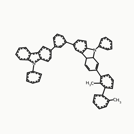 Cc1ccccc1-c1cccc(C2=CC3C(C=C2)c2cc(-c4cccc(-c5ccc6c(c5)c5ccccc5n6-c5ccccc5)c4)ccc2N3c2ccccc2)c1C